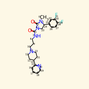 CN1C(=O)N(C(=O)NCCCN2CCC(c3ccccn3)CC2)CC1c1ccc(F)c(F)c1